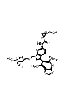 COc1nc2ncsc2c(OC)c1-c1cn(COCC[Si](C)(C)C)c2nc(NC(=O)[C@@H]3C[C@H]3CO)ccc12